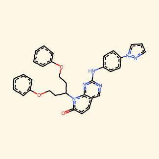 O=c1ccc2cnc(Nc3ccc(-n4cccn4)cc3)nc2n1C(CCOc1ccccc1)CCOc1ccccc1